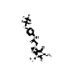 Cn1c(=O)c2c(ncn2CC(=O)Nc2ccc(OC(F)(F)C(F)(F)F)cc2)n(C)c1=O